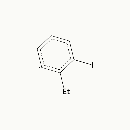 CCc1[c]cccc1I